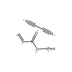 C=CC(=O)OCCCCC.N#CC#N